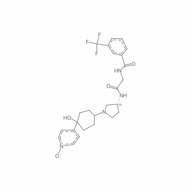 O=C(CNC(=O)c1cccc(C(F)(F)F)c1)N[C@@H]1CCN(C2CCC(O)(c3cc[n+]([O-])cc3)CC2)C1